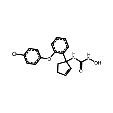 O=C(NO)NC1(c2ccccc2Oc2ccc(Cl)cc2)C=CCC1